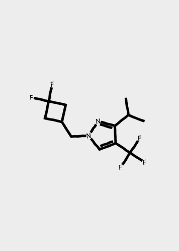 CC(C)c1nn(CC2CC(F)(F)C2)cc1C(F)(F)F